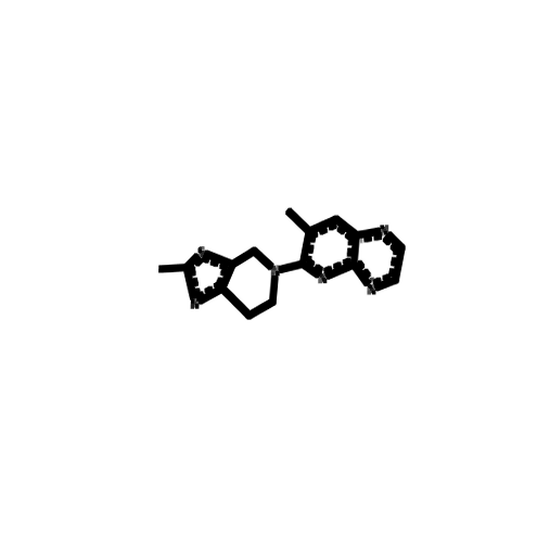 Cc1nc2c(s1)CN(c1nc3nccnc3cc1C)CC2